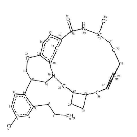 CCCc1cc(Cl)ccc1C1COc2ccc3cc2N(C1)CC1CCC1CC1=CC(CC[S+]([O-])NC3=O)C1